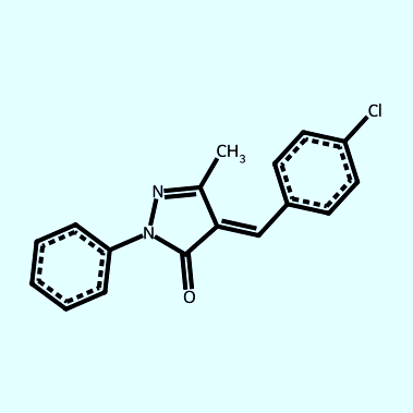 CC1=NN(c2ccccc2)C(=O)/C1=C/c1ccc(Cl)cc1